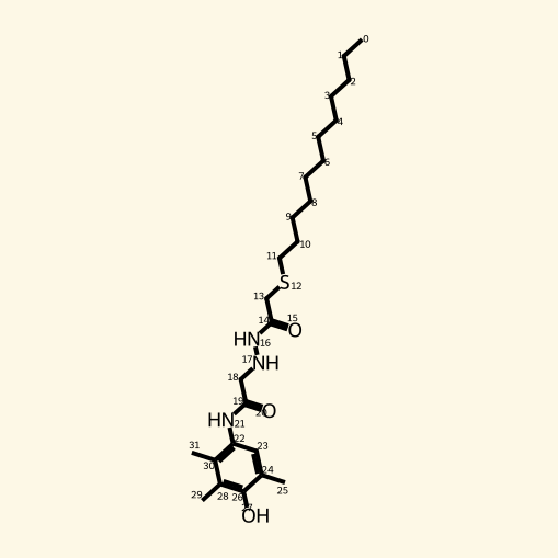 CCCCCCCCCCCCSCC(=O)NNCC(=O)Nc1cc(C)c(O)c(C)c1C